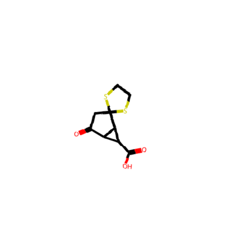 O=C(O)C1C2C(=O)CC3(SCCS3)C12